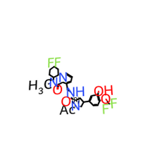 CC(=O)N1CC(c2ccc(OC(F)F)c(O)c2)C[C@@H]1C(=O)NCc1cccnc1C(=O)N(C)C1CCC(F)(F)CC1